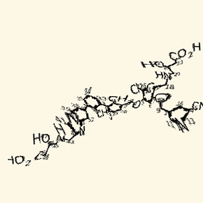 Cc1c(COc2cc(OCc3cncc(C#N)c3)c(CNC[C@@H](O)CC(=O)O)cc2Cl)cccc1-c1cccc(-c2ccn3cc(CNC[C@@H](O)CC(=O)O)nc3c2)c1C